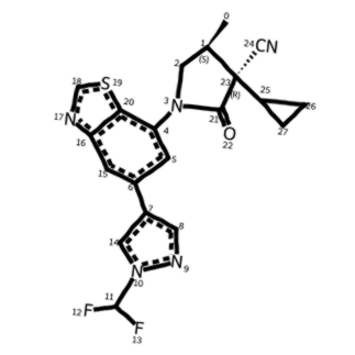 C[C@@H]1CN(c2cc(-c3cnn(C(F)F)c3)cc3ncsc23)C(=O)[C@]1(C#N)C1CC1